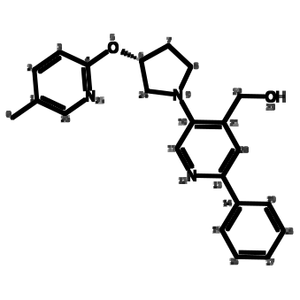 Cc1ccc(O[C@@H]2CCN(c3cnc(-c4ccccc4)cc3CO)C2)nc1